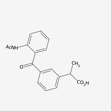 CC(=O)Nc1ccccc1C(=O)c1cccc(C(C)C(=O)O)c1